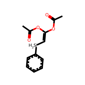 CC(=O)OC(=C[SiH2]c1ccccc1)OC(C)=O